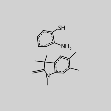 C=C1N(C)c2cc(C)c(C)cc2C1(C)C.Nc1ccccc1S